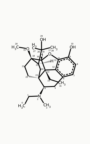 CCN(C)[C@@H]1Cc2ccc(O)c3c2[C@@]2(CC)[C@@H](O3)[C@@]3(OC)CC[C@@]12C[C@@H]3C(C)(C)O